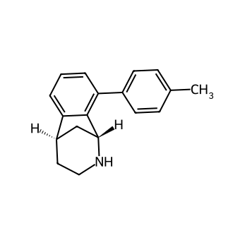 Cc1ccc(-c2cccc3c2[C@H]2C[C@H]3CCN2)cc1